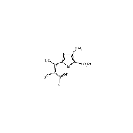 CCOC(=O)c1c(C)nc2c(C)c(C)c(Cl)nn12